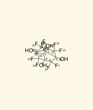 OC12C(F)C3(O)C(F)(F)C(O)(C1(F)F)C(F)(F)C(O)(C2(F)F)C3(F)F